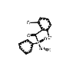 CCCCCCCP(=O)(C(=O)c1c(Cl)cccc1Cl)c1ccccc1